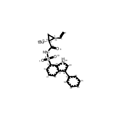 C=C[C@@H]1C[C@@]1(C(=O)NS(=O)(=O)c1cccc2c(-c3ccccc3)c[nH]c12)C(C)(C)C